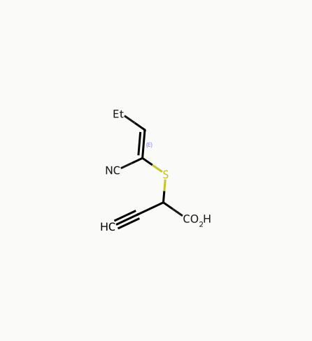 C#CC(S/C(C#N)=C/CC)C(=O)O